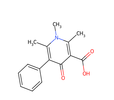 Cc1c(C(=O)O)c(=O)c(-c2ccccc2)c(C)n1C